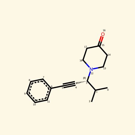 CC(C)[C@H](C#Cc1ccccc1)N1CCC(=O)CC1